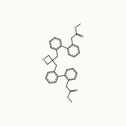 COC(=O)Cc1ccccc1-c1ccccc1CC1(Cc2ccccc2-c2ccccc2CC(=O)OC)COC1